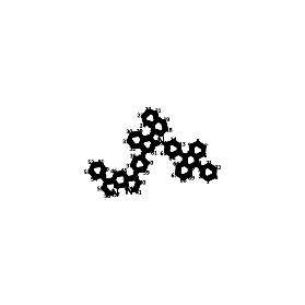 c1ccc(-c2c3ccccc3c(-c3ccc(-n4c5ccc6ccccc6c5c5c6ccccc6c(-c6ccc(-c7ccnc8c7ccc7c(-c9ccccc9)ccnc78)cc6)cc54)cc3)c3ccccc23)cc1